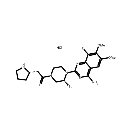 CC[C@H]1CN(C(=O)C[C@@H]2CCCN2)CCN1c1nc(N)c2cc(OC)c(OC)c(F)c2n1.Cl